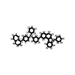 C1=CC2=C(c3ccc(N(c4ccccc4)c4cccc(-c5ccc6ccc7c(c6c5)c5ccccc5n7-c5ccccc5)c4)cc3)C=CCC2C=C1